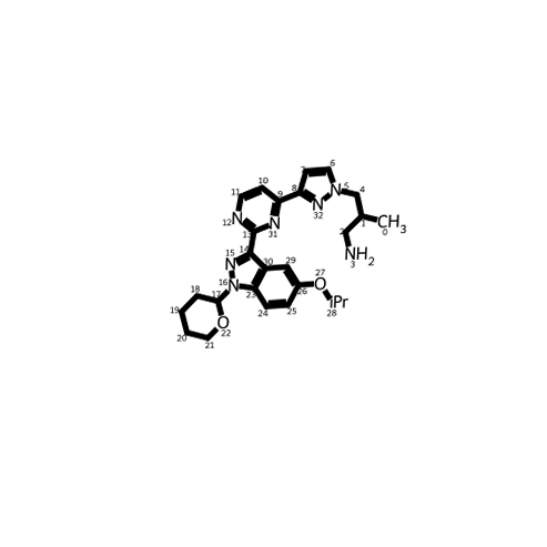 CC(CN)Cn1ccc(-c2ccnc(-c3nn(C4CCCCO4)c4ccc(OC(C)C)cc34)n2)n1